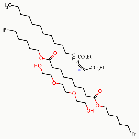 CC(C)CCCCCOC(=O)CCCCCCCC(=O)OCCCCCC(C)C.CCCCCCCCCCCC.CCOC(=O)/C=C\C(=O)OCC.OCCOCCOCCO